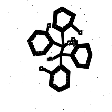 CCCC(c1ccccc1Cl)(c1ccccc1Cl)C(C(=O)O)(c1ccccc1Cl)c1ccccc1Cl